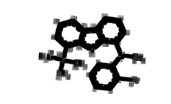 CC(C)c1ccccc1N(C)c1cccc2c1sc1c([Si](C)(C)C)cccc12